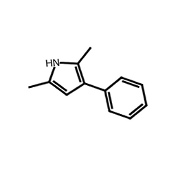 Cc1cc(-c2ccccc2)c(C)[nH]1